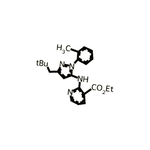 CCOC(=O)c1cccnc1Nc1cc(CC(C)(C)C)nn1-c1ccccc1C